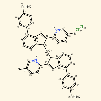 CCCCCCc1ccc(-c2cccc3c2C=C(c2ccc(C)cn2)[CH]3[Zr+2][CH]2C(c3ccc(C)cn3)=Cc3c(-c4ccc(CCCCCC)cc4)cccc32)cc1.[Cl-].[Cl-]